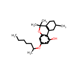 CCCCCC(C)Oc1cc(O)c2c(c1)OC(C)(C)C1=C2CC(C)CC1